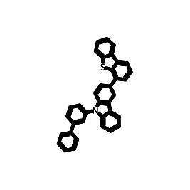 C1=CC(c2cccc3c2sc2ccccc23)Cc2c1n(-c1cccc(-c3ccccc3)c1)c1ccccc21